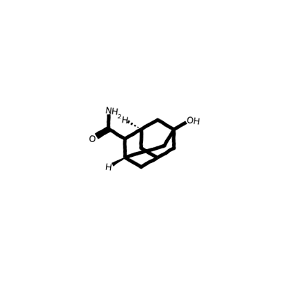 NC(=O)C1[C@@H]2CC3C[C@H]1CC(O)(C3)C2